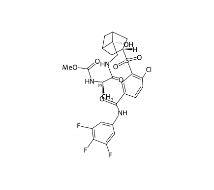 COC(=O)N[C@H](C)C(=O)NC[C@]1(O)C2CC1C[C@@H](S(=O)(=O)c1cc(C(=O)Nc3cc(F)c(F)c(F)c3)ccc1Cl)C2